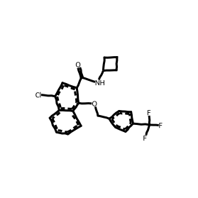 O=C(NC1CCC1)c1cc(Cl)c2ccccc2c1OCc1ccc(C(F)(F)F)cc1